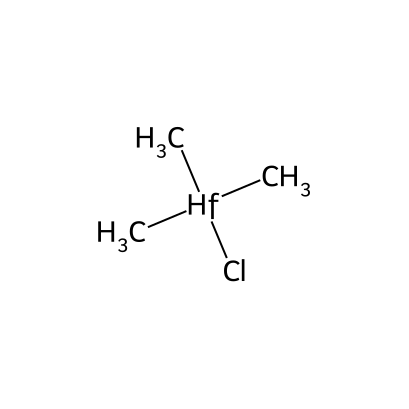 [CH3][Hf]([CH3])([CH3])[Cl]